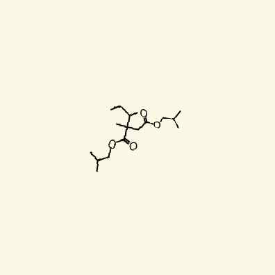 CCC(C)C(C)(CC(=O)OCC(C)C)C(=O)OCC(C)C